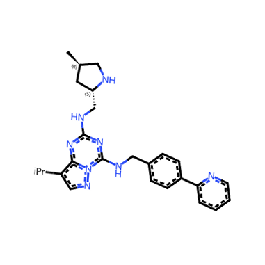 CC(C)c1cnn2c(NCc3ccc(-c4ccccn4)cc3)nc(NC[C@@H]3C[C@@H](C)CN3)nc12